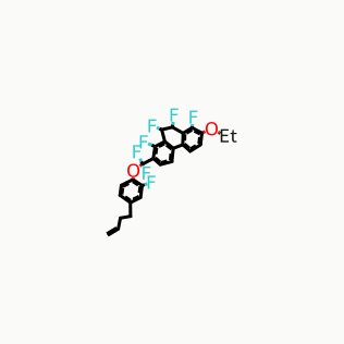 C=CCCc1ccc(OC(F)(F)c2ccc3c(c2F)C(F)C(F)c2c-3ccc(OCC)c2F)c(F)c1